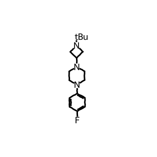 CC(C)(C)N1CC(N2CCN(c3ccc(F)cc3)CC2)C1